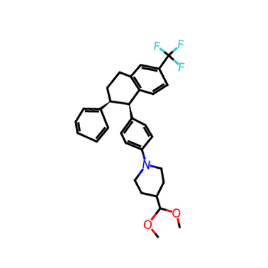 COC(OC)C1CCN(c2ccc([C@@H]3c4ccc(C(F)(F)F)cc4CC[C@@H]3c3ccccc3)cc2)CC1